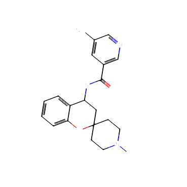 CCOC(=O)N1CCC2(CC1)CC(NC(=O)c1cncc(C#N)c1)c1ccccc1O2